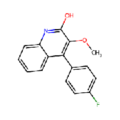 COc1c(O)nc2ccccc2c1-c1ccc(F)cc1